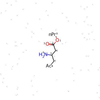 CCCOC(=O)CC(N)CC(C)=O